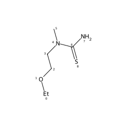 CCOCCN(C)C(N)=S